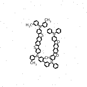 Cc1cccc(N(c2cccc(C)c2)c2ccc3c(c2)sc2cc4cc5c(cc4cc23)sc2cc(N(c3cccc(C)c3)c3ccc(-c4cccc(N(c6ccccc6)c6ccc7c(c6)oc6cc8cc9oc%10cc(N(c%11ccccc%11)c%11ccccc%11)ccc%10c9cc8cc67)c4)c(C)c3)ccc25)c1